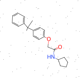 CC(C)(c1ccccc1)c1ccc(OCC(=O)NC2CCCC2)cc1